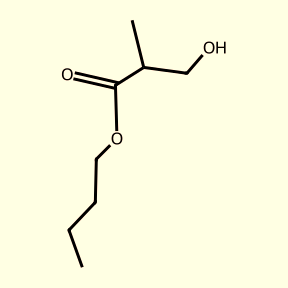 CCCCOC(=O)C(C)CO